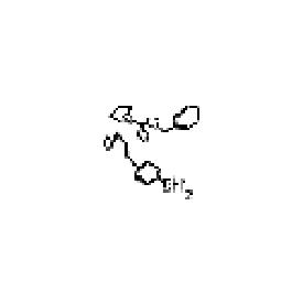 Bc1ccc(CCC(=O)[C@@H]2CCCN2C(=O)OCc2ccccc2)cc1